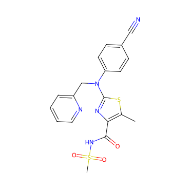 Cc1sc(N(Cc2ccccn2)c2ccc(C#N)cc2)nc1C(=O)NS(C)(=O)=O